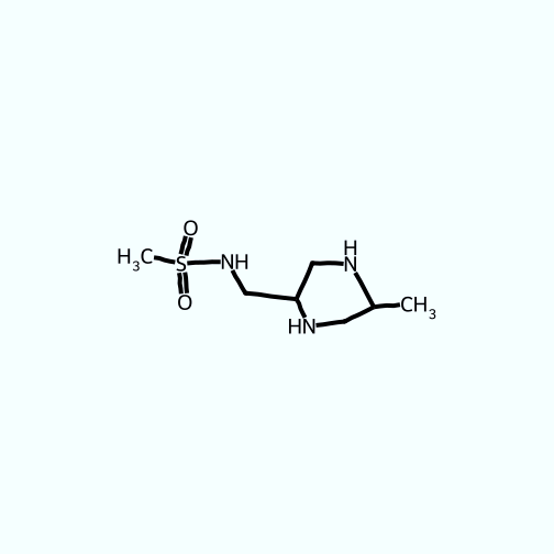 CC1CNC(CNS(C)(=O)=O)CN1